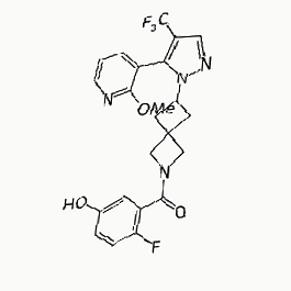 COc1ncccc1-c1c(C(F)(F)F)cnn1C1CC2(C1)CN(C(=O)c1cc(O)ccc1F)C2